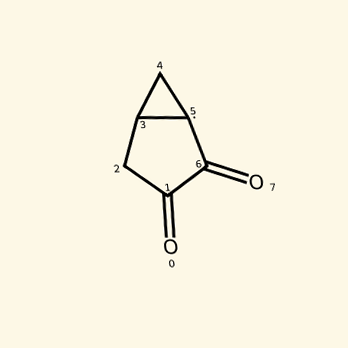 O=C1CC2C[C]2C1=O